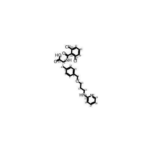 O=C(N[C@H](Cc1ccc(COCCCNc2ccccn2)cc1)C(=O)O)c1c(Cl)cccc1Cl